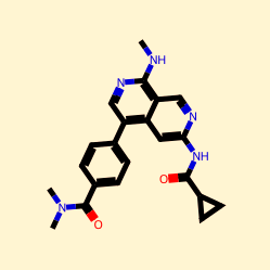 CNc1ncc(-c2ccc(C(=O)N(C)C)cc2)c2cc(NC(=O)C3CC3)ncc12